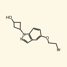 OC1CC(n2ncc3cc(OCCBr)ccc32)C1